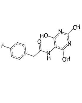 Cc1nc(O)c(NC(=O)Cc2ccc(F)cc2)c(O)n1